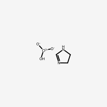 C1=NCCN1.[O-][Cl+2]([O-])O